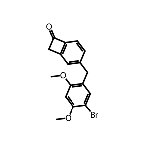 COc1cc(OC)c(Cc2ccc3c(c2)CC3=O)cc1Br